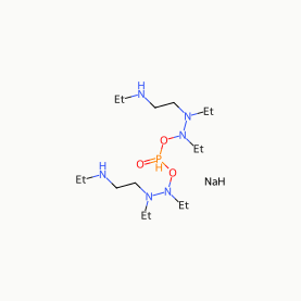 CCNCCN(CC)N(CC)O[PH](=O)ON(CC)N(CC)CCNCC.[NaH]